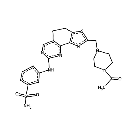 CC(=O)N1CCN(Cc2nc3c(s2)CCc2cnc(Nc4cccc(S(N)(=O)=O)c4)nc2-3)CC1